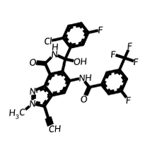 C#Cc1c2cc(NC(=O)c3cc(F)cc(C(F)(F)F)c3)c3c(c2nn1C)C(=O)NC3(O)c1cc(F)ccc1Cl